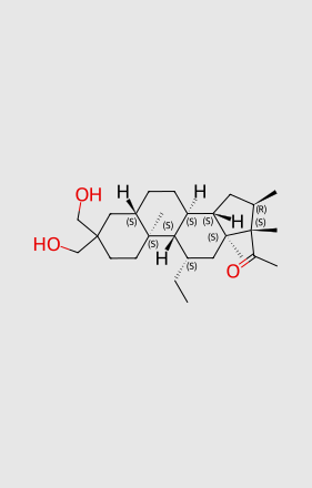 CC[C@H]1C[C@@]2(C)[C@@H](C[C@@H](C)[C@]2(C)C(C)=O)[C@@H]2CC[C@H]3CC(CO)(CO)CC[C@]3(C)[C@@H]12